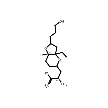 C=C(O)[C@H](C)CC1CC[C@@H]2OC(CCCO)CC2(CI)O1